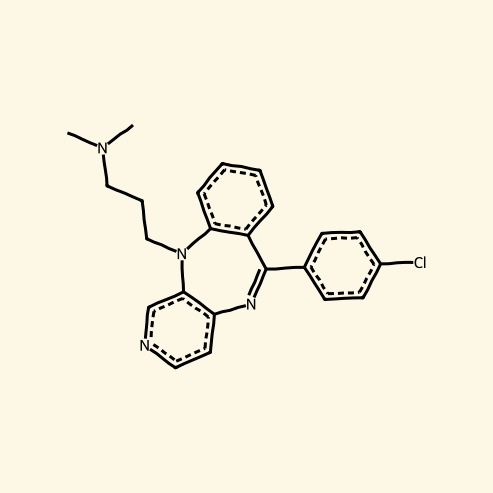 CN(C)CCCN1c2cnccc2N=C(c2ccc(Cl)cc2)c2ccccc21